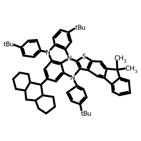 CC(C)(C)c1ccc(N2c3ccc(C(C)(C)C)cc3N3c4sc5cc6c(cc5c4N(c4ccc(C(C)(C)C)cc4)c4cc(C5C7CCCCC7CC7CCCCC75)cc2c43)-c2ccccc2C6(C)C)cc1